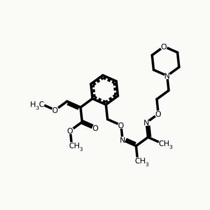 COC=C(C(=O)OC)c1ccccc1CON=C(C)C(C)=NOCCN1CCOCC1